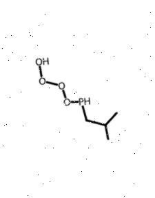 CC(C)CPOOOO